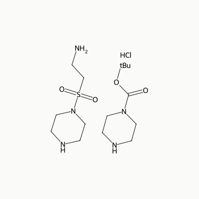 CC(C)(C)OC(=O)N1CCNCC1.Cl.NCCS(=O)(=O)N1CCNCC1